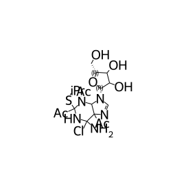 CC(=O)N1C2N([C@@H]3O[C@H](CO)C(O)C3O)C=NC2(C(C)=O)C(N)(Cl)NC1(SC(C)C)C(C)=O